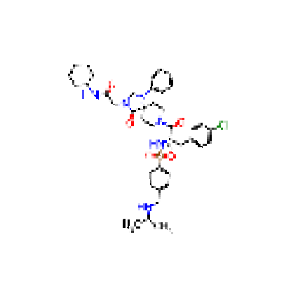 CC(C)NCc1ccc(S(=O)(=O)N[C@H](Cc2ccc(Cl)cc2)C(=O)N2CCC3(CC2)C(=O)N(CC(=O)NC2CCCCC2)CN3c2ccccc2)cc1